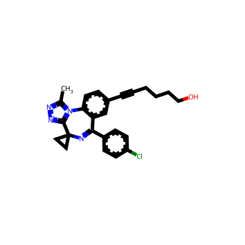 Cc1nnc2n1-c1ccc(C#CCCCCO)cc1C(c1ccc(Cl)cc1)=NC21CC1